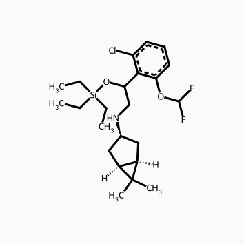 CC[Si](CC)(CC)OC(CN[C@H]1C[C@@H]2[C@H](C1)C2(C)C)c1c(Cl)cccc1OC(F)F